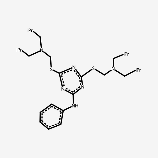 CC(C)CN(CSc1nc(Nc2ccccc2)nc(SCN(CC(C)C)CC(C)C)n1)CC(C)C